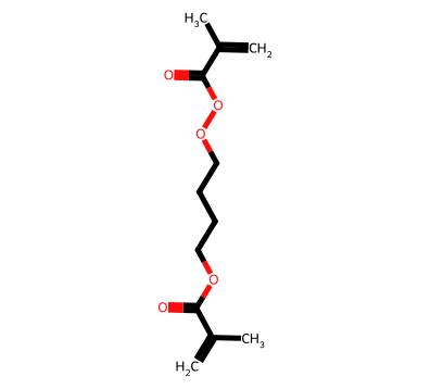 C=C(C)C(=O)OCCCCOOC(=O)C(=C)C